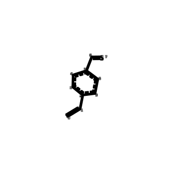 C=Cc1ccc(C=S)cc1